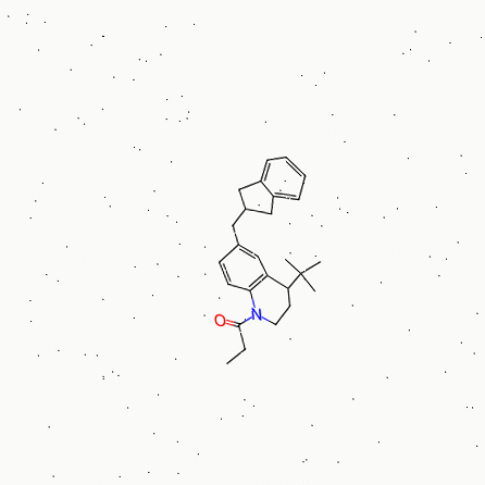 CCC(=O)N1CCC(C(C)(C)C)c2cc(CC3Cc4ccccc4C3)ccc21